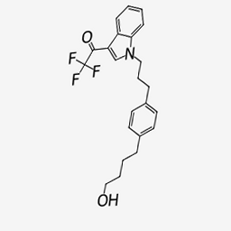 O=C(c1cn(CCCc2ccc(CCCCO)cc2)c2ccccc12)C(F)(F)F